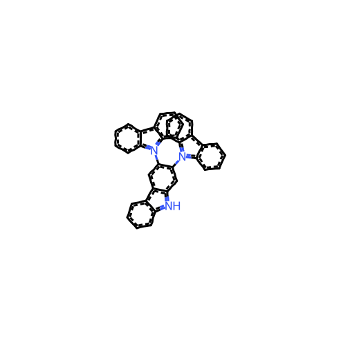 c1ccc2c(c1)[nH]c1cc(-n3c4ccccc4c4ccccc43)c(-n3c4ccccc4c4ccccc43)cc12